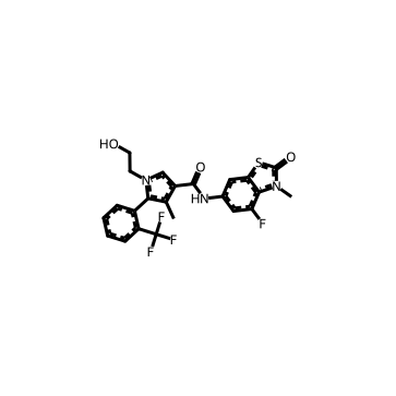 Cc1c(C(=O)Nc2cc(F)c3c(c2)sc(=O)n3C)cn(CCO)c1-c1ccccc1C(F)(F)F